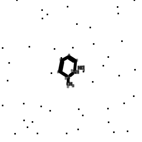 CN1C=CC=CN1.Cl